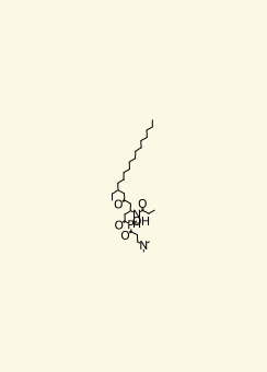 CCCCCCCCCCCCCC(CC)CC(=O)CC(CC(=O)P(O)C(=O)CCN(C)C)NC(=O)CC